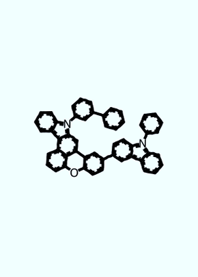 c1ccc(-c2cccc(-n3c4ccccc4c4c5cccc6c5c(cc43)-c3cc(-c4ccc5c(c4)c4ccccc4n5-c4ccccc4)ccc3O6)c2)cc1